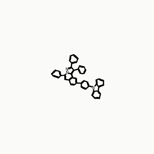 c1ccc(-c2nn3c(-c4ccccc4)cc4ccc(-c5ccc(-n6c7ccccc7c7ccccc76)cc5)cc4c3c2-c2ccccc2)cc1